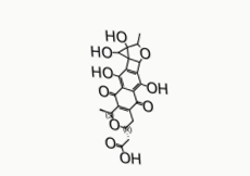 CC1OC2c3c(O)c4c(c(O)c3C23C(O)C13O)C(=O)C1=C(C[C@H](CC(=O)O)O[C@H]1C)C4=O